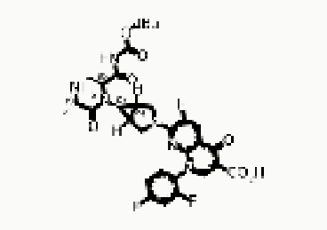 C[C@H](N)C(=O)N([C@H]1[C@@H]2CN(c3nc4c(cc3F)c(=O)c(C(=O)O)cn4-c3ccc(F)cc3F)C[C@@H]21)[C@@H](C)C(=O)NC(=O)OC(C)(C)C